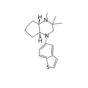 CN1[C@H]2CCCC[C@H]2N(c2ccc3sccc3c2)CC1(C)C